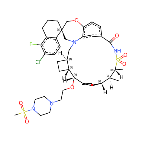 C[C@@H]1[C@@H](C)S(=O)(=O)NC(=O)c2ccc3c(c2)N(C[C@@H]2CC[C@H]2[C@@H](OCCN2CCN(S(C)(=O)=O)CC2)C2=C[C@H]1C2)C[C@@]1(CCCc2c1ccc(Cl)c2F)CO3